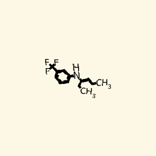 CC/C=C(\CC)Nc1cccc(C(F)(F)F)c1